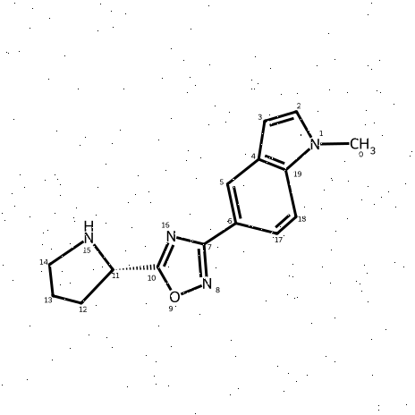 Cn1ccc2cc(-c3noc([C@@H]4CCCN4)n3)ccc21